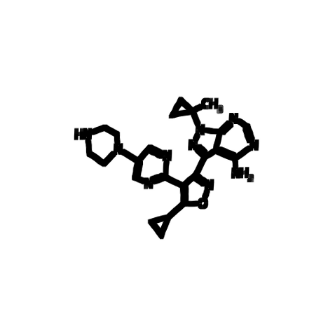 CC1(n2nc(-c3noc(C4CC4)c3-c3ncc(N4CCNCC4)cn3)c3c(N)ncnc32)CC1